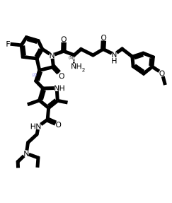 CCN(CC)CCNC(=O)c1c(C)[nH]c(/C=C2\C(=O)N(C(=O)[C@@H](N)CCC(=O)NCc3ccc(OC)cc3)c3ccc(F)cc32)c1C